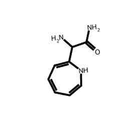 NC(=O)C(N)C1=CC=CC=CN1